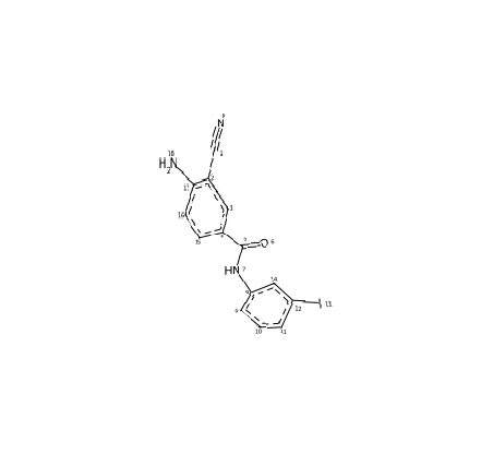 N#Cc1cc(C(=O)Nc2cccc(I)c2)ccc1N